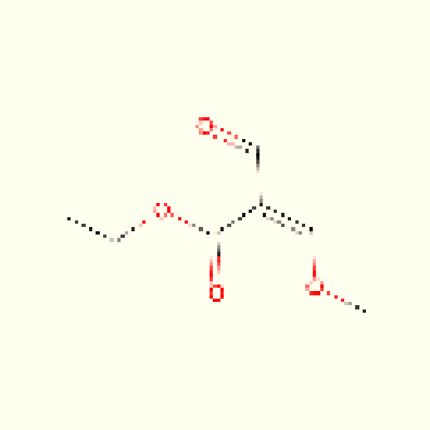 CCOC(=O)/C(C=O)=C\OC